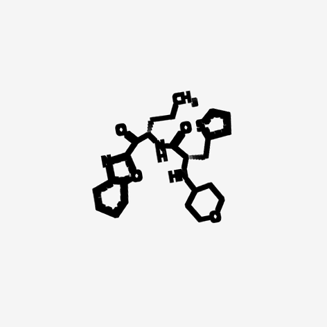 CCC[C@H](NC(=O)[C@H](Cc1cccs1)NC1CCOCC1)C(=O)c1nc2ccccc2o1